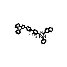 Cc1cc(-c2ccc3c4ccccc4c4ccccc4c3c2)ccc1-c1ccc(-c2nc(-c3ccccc3)nc(-c3ccc4ccccc4c3)n2)cc1